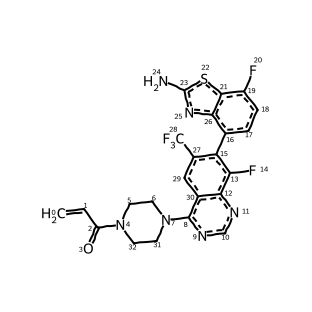 C=CC(=O)N1CCN(c2ncnc3c(F)c(-c4ccc(F)c5sc(N)nc45)c(C(F)(F)F)cc23)CC1